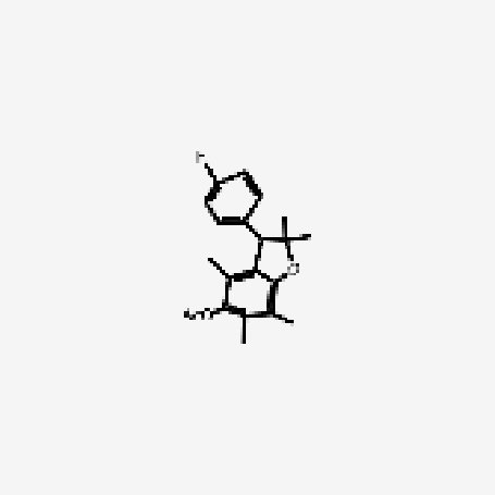 CC(=O)Oc1c(C)c(C)c2c(c1C)C(c1ccc(F)cc1)C(C)(C)O2